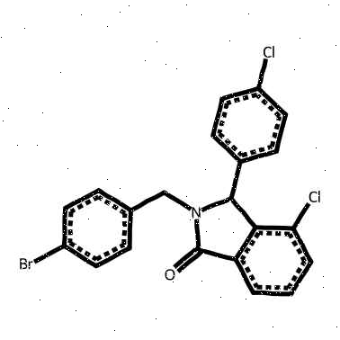 O=C1c2cccc(Cl)c2C(c2ccc(Cl)cc2)N1Cc1ccc(Br)cc1